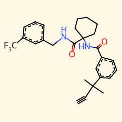 C#CC(C)(C)c1cccc(C(=O)NC2(C(=O)NCc3cccc(C(F)(F)F)c3)CCCCC2)c1